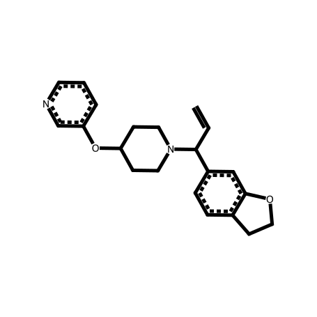 C=CC(c1ccc2c(c1)OCC2)N1CCC(Oc2cccnc2)CC1